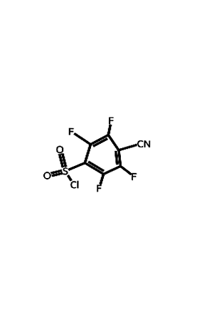 N#Cc1c(F)c(F)c(S(=O)(=O)Cl)c(F)c1F